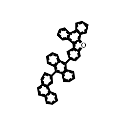 c1ccc2c(c1)ccc1ccc(-c3c4ccccc4c(-c4ccc5oc6c7ccccc7c7ccccc7c6c5c4)c4ccccc34)cc12